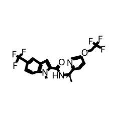 C[C@@H](NC(=O)c1cc2cc(C(F)(F)F)ccc2n1C)c1ccc(OCC(F)(F)F)cn1